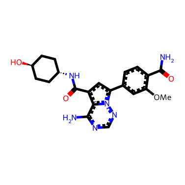 COc1cc(-c2cc(C(=O)N[C@H]3CC[C@H](O)CC3)c3c(N)ncnn23)ccc1C(N)=O